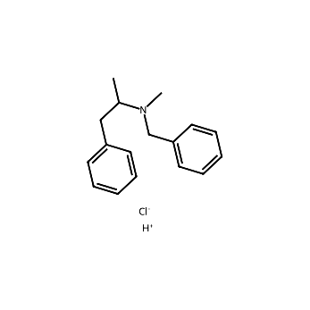 CC(Cc1ccccc1)N(C)Cc1ccccc1.[Cl-].[H+]